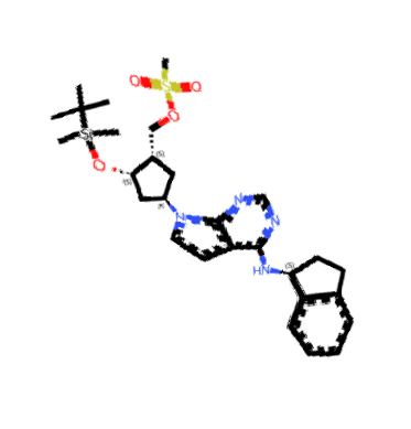 CC(C)(C)[Si](C)(C)O[C@H]1C[C@H](n2ccc3c(N[C@H]4CCc5ccccc54)ncnc32)C[C@H]1COS(C)(=O)=O